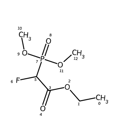 CCOC(=O)C(F)P(=O)(OC)OC